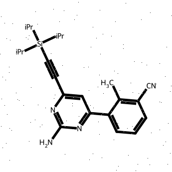 Cc1c(C#N)cccc1-c1cc(C#C[Si](C(C)C)(C(C)C)C(C)C)nc(N)n1